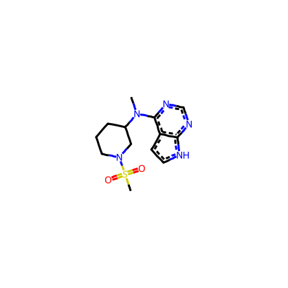 CN(c1ncnc2[nH]ccc12)C1CCCN(S(C)(=O)=O)C1